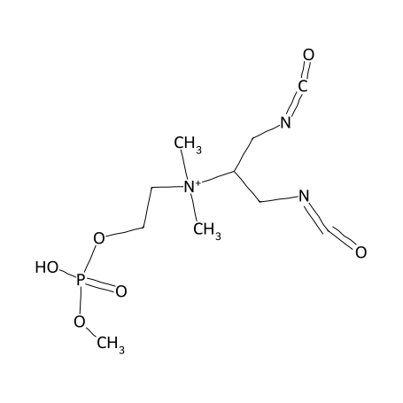 COP(=O)(O)OCC[N+](C)(C)C(CN=C=O)CN=C=O